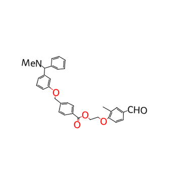 CNC(c1ccccc1)c1cccc(OCc2ccc(C(=O)OCCOc3ccc(C=O)cc3C)cc2)c1